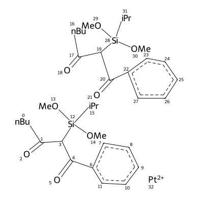 CCCCC(=O)C(C(=O)c1ccccc1)[Si](OC)(OC)C(C)C.CCCCC(=O)C(C(=O)c1ccccc1)[Si](OC)(OC)C(C)C.[Pt+2]